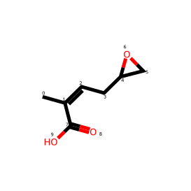 CC(=CCC1CO1)C(=O)O